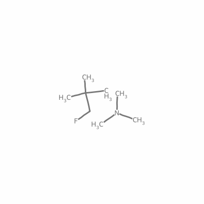 CC(C)(C)CF.CN(C)C